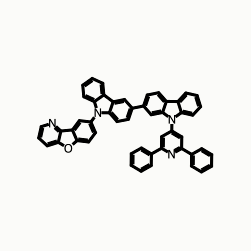 c1ccc(-c2cc(-n3c4ccccc4c4ccc(-c5ccc6c(c5)c5ccccc5n6-c5ccc6oc7cccnc7c6c5)cc43)cc(-c3ccccc3)n2)cc1